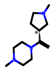 C=C([C@@H]1CCN(C)C1)N1CCN(C)CC1